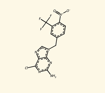 Nc1nc(Cl)c2ncn(Cc3ccc([N+](=O)[O-])c(C(F)(F)F)c3)c2n1